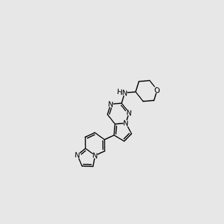 c1cn2cc(-c3ccn4nc(NC5CCOCC5)ncc34)ccc2n1